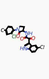 Cc1ccc(N2CCC(NC(=O)C(=O)c3c[nH]c4ccc(C#N)cc34)C2=O)c(Cl)c1